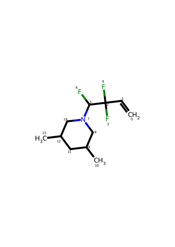 C=CC(F)(F)C(F)N1CC(C)CC(C)C1